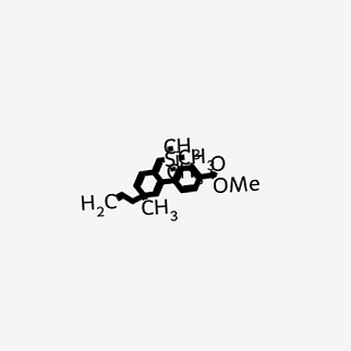 C=CCC1(C)C=CC(=C[Si](C)(C)C)C(c2ccc(C(=O)OC)cc2)=C1